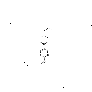 COc1ccc(N2CCC(CN)CC2)cn1